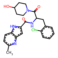 Cc1ccc2[nH]c(C(=O)NC(Cc3ccccc3Cl)C(=O)N3CCC(O)CC3)cc2n1